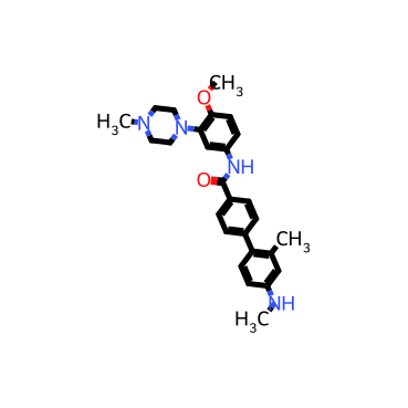 CNc1ccc(-c2ccc(C(=O)Nc3ccc(OC)c(N4CCN(C)CC4)c3)cc2)c(C)c1